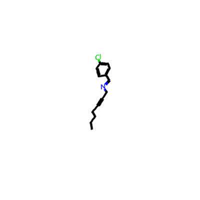 CCCCC#CC/N=C/c1ccc(Cl)cc1